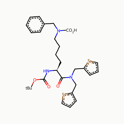 CC(C)(C)OC(=O)N[C@@H](CCCCN(Cc1ccccc1)C(=O)O)C(=O)N(Cc1cccs1)Cc1cccs1